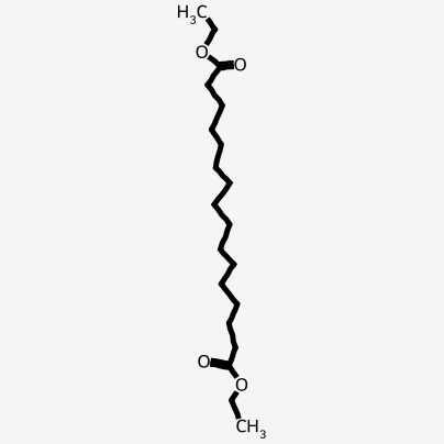 CCOC(=O)CCCCCCCCCCCCCCC(=O)OCC